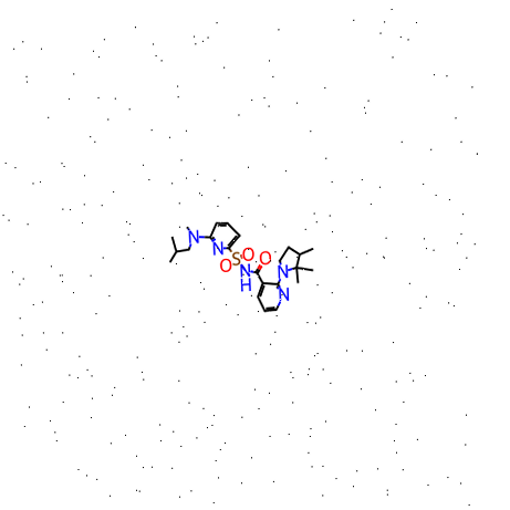 CC(C)CN(C)c1cccc(S(=O)(=O)NC(=O)c2cccnc2N2CCC(C)C2(C)C)n1